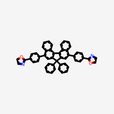 c1ccc(C2(c3ccccc3)c3cc(-c4ccc(-c5ncco5)cc4)c4ccccc4c3-c3c2cc(-c2ccc(-c4ncco4)cc2)c2ccccc32)cc1